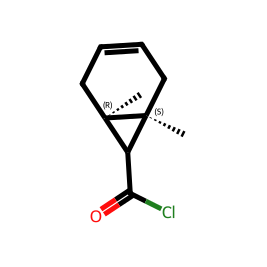 C[C@@]12CC=CC[C@]1(C)C2C(=O)Cl